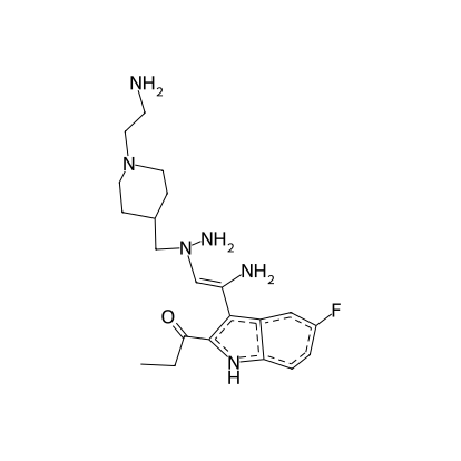 CCC(=O)c1[nH]c2ccc(F)cc2c1/C(N)=C/N(N)CC1CCN(CCN)CC1